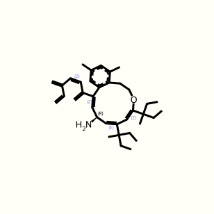 C=CC(=C)/C=C\C(=C)/C1=C/[C@H](N)/C=C(C(C)(CC)CC)\C=C(\C(C)(CC)CC)OCCc2c(C)cc(C)cc21